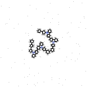 c1ccc(-c2ccc(-c3cccc(-n4c5ccccc5c5ccc(-c6ccc7c8ccccc8n(-c8ccc(-c9cccc(-c%10cccc(-c%11ccc(-n%12c%13ccccc%13c%13cc(-c%14ccc%15c(c%14)c%14ccccc%14n%15-c%14ccc(-c%15ccccc%15)cc%14)ccc%13%12)cc%11)c%10)c9)cc8)c7c6)cc54)c3)cc2)cc1